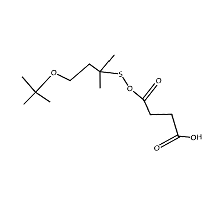 CC(C)(C)OCCC(C)(C)SOC(=O)CCC(=O)O